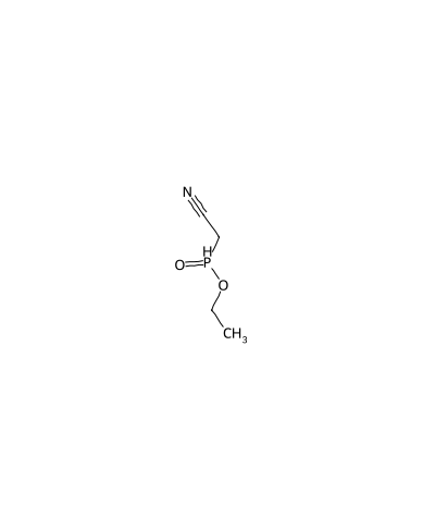 CCO[PH](=O)CC#N